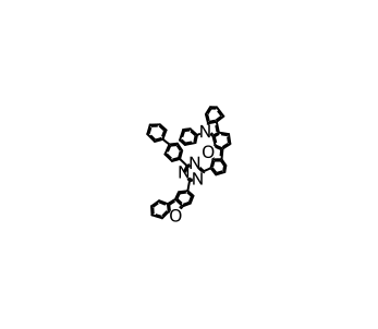 c1ccc(-c2ccc(-c3nc(-c4ccc5oc6ccccc6c5c4)nc(-c4cccc5c4oc4c5ccc5c6ccccc6n(-c6ccccc6)c54)n3)cc2)cc1